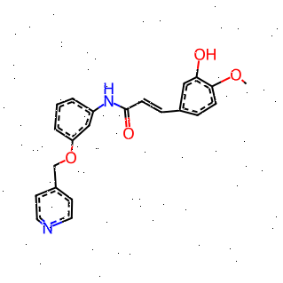 COc1ccc(C=CC(=O)Nc2cccc(OCc3ccncc3)c2)cc1O